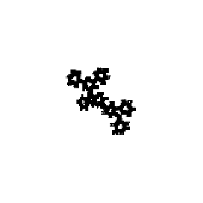 C1=CCC2C(=C1)c1cc(-c3ccc4c(c3)c3ccccc3n4-c3ccccc3)cnc1N2c1cc(-c2ccccc2)cc(-c2ccccc2)n1